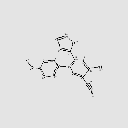 COc1ccc(-c2cc(C#N)c(N)nc2-c2ccco2)cc1